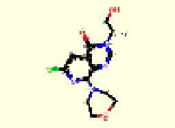 C[C@@H](CO)n1cnc2c(N3CCOCC3)nc(Cl)cc2c1=O